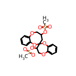 CS(=O)(=O)OC1COc2ccccc2OC2(C1)Oc1ccccc1OCC2OS(C)(=O)=O